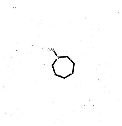 [CH2]CCCN1CCCCCC1